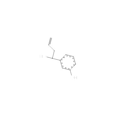 C=CC[C@](C)(O)c1cccc(O)c1